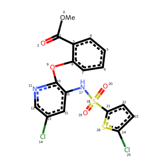 COC(=O)c1ccccc1Oc1ncc(Cl)cc1NS(=O)(=O)c1ccc(Cl)s1